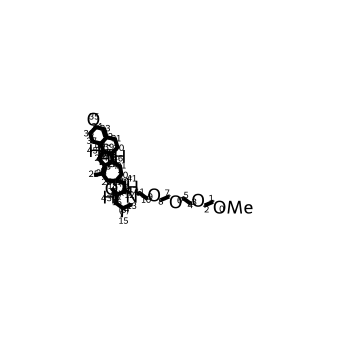 COCCOCCOCCOCCN1C[C@@H](C)C[C@H]2OC3(CC[C@@H]4C(=C(C)C3)C[C@H]3[C@H]4CCC4=CC(=O)CC[C@@]43C)[C@H](C)[C@@H]21